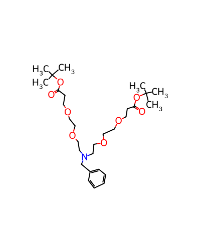 CC(C)(C)OC(=O)CCOCCOCCN(CCOCCOCCC(=O)OC(C)(C)C)Cc1ccccc1